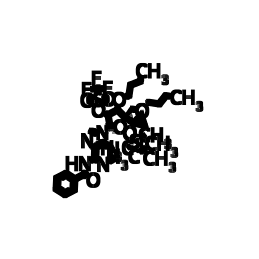 CCCCOC[C@@]1(C2(O[Si](C)(C)C(C)(C)C)CC2)O[C@@H](n2cnc3c(NC(=O)c4ccccc4)ncnc32)C(OS(=O)(=O)C(F)(F)F)C1OCCCC